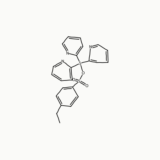 CCc1ccc(S(=O)(=O)OS(c2ccccn2)(c2ccccn2)c2ccccn2)cc1